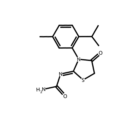 Cc1ccc(C(C)C)c(N2C(=O)CSC2=NC(N)=O)c1